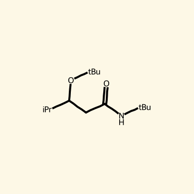 CC(C)C(CC(=O)NC(C)(C)C)OC(C)(C)C